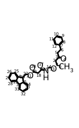 C[C@H](CC(=O)CCc1ccccc1)OCNC(=O)CC(=O)OCC1c2ccccc2-c2ccccc21